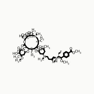 CC[C@H]1OC(=O)[C@H](C)[C@@H](O[C@H]2C[C@@](C)(OC)[C@@H](O)[C@H](C)O2)[C@H](C)[C@@H](O[C@H]2C[C@@H](N(C)CCc3cn([C@H](CF)[C@H](OC)c4ccc(C(=O)OC)cc4)nn3)C[C@@H](C)O2)[C@](C)(O)C[C@@H](C)CN(C)[C@H](C)[C@@H](O)[C@]1(C)O